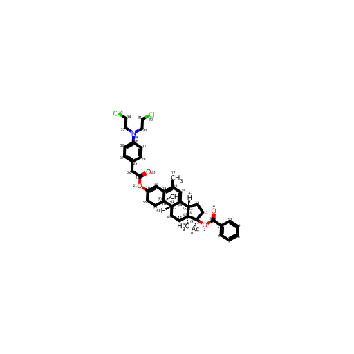 CC(=O)[C@@]1(OC(=O)c2ccccc2)CC[C@H]2C3=CC(C)=C4C=C(OC(=O)Cc5ccc(N(CCCl)CCCl)cc5)CC[C@]4(C)[C@H]3CC[C@@]21C